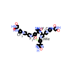 COc1cc(-c2cn(C)c(=O)c3[nH]ncc23)cc(F)c1CN1CCC(C2CCN(c3ccc(NC4CCC(=O)NC4=O)cc3C(F)(F)F)CC2)C(Cn2cc(-c3ccc(CN4CCC(C5CCN(c6ccc(NC7CCC(=O)NC7=O)cc6C(F)(F)F)CC5)CC4)c(OC(F)(F)F)c3)c3cn[nH]c3c2=O)C1